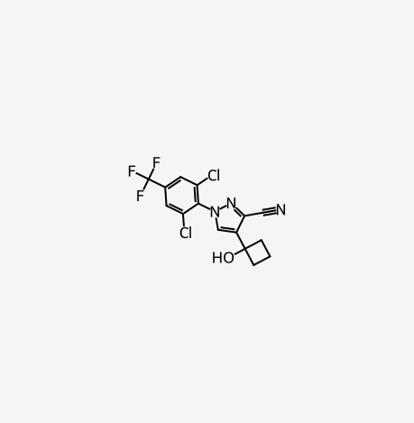 N#Cc1nn(-c2c(Cl)cc(C(F)(F)F)cc2Cl)cc1C1(O)CCC1